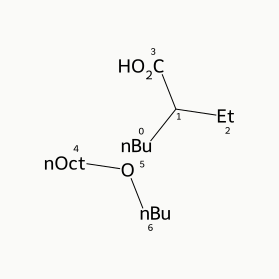 CCCCC(CC)C(=O)O.CCCCCCCCOCCCC